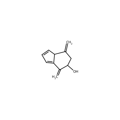 C=C1C2=CC=CC2C(=C)CC1O